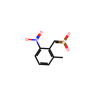 Cc1cccc([N+](=O)[O-])c1C=S(=O)=O